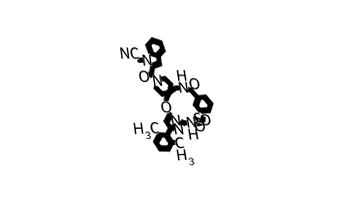 Cc1cccc(C)c1-c1cc2nc(n1)NS(=O)(=O)c1cccc(c1)C(=O)NCC1(CCN(C(=O)c3cc4ccccc4n3CC#N)CC1)CO2